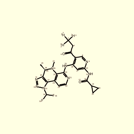 [2H]C([2H])([2H])CC(=O)c1cnc(NC(=O)C2CC2)cc1Nc1nccc2c1N(C)[C@H](C)c1nnn(C(F)F)c1-2